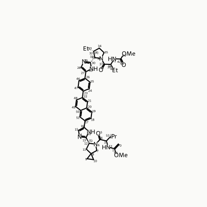 C=C(NC(C(=O)N1CC2(CC2)C[C@H]1c1ncc(-c2ccc3cc(-c4ccc(-c5cnc([C@@H]6[C@H](CC)CCN6C(=O)[C@H](CC)NC(=O)OC)[nH]5)cc4)ccc3c2)[nH]1)C(C)C)OC